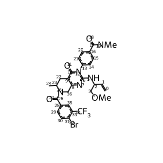 C=CC(COC)Nc1nc2c(c(=O)n1-c1ccc(C(=O)NC)cc1)CC(C)N(C(=O)c1ccc(Br)c(C(F)(F)F)c1)C2